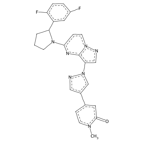 Cn1ccc(-c2cnn(-c3cnn4ccc(N5CCCC5c5cc(F)ccc5F)nc34)c2)cc1=O